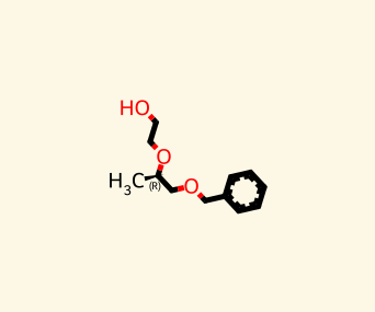 C[C@H](COCc1ccccc1)OCCO